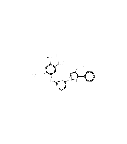 COc1cc(N(C)C)c([N+](=O)[O-])cc1Nc1nccc(-n2cc(C=O)c(-c3ccccc3)n2)n1